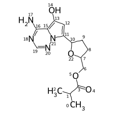 CC(C)C(=O)OCC1CCC(c2cc(O)c3c(N)ncnn23)O1